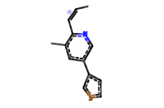 C/C=C\c1ncc(-c2ccsc2)cc1C